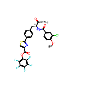 CNC(=O)[C@H](Cc1ccc(-c2nc(C(=O)Oc3c(F)c(F)c(F)c(F)c3F)cs2)cc1)NC(=O)c1ccc(OC(C)C)c(Cl)c1